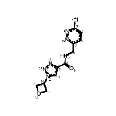 O=C(NCc1ccc(Cl)nn1)c1cn(C2COC2)nn1